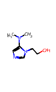 CN(C)c1cncn1CCO